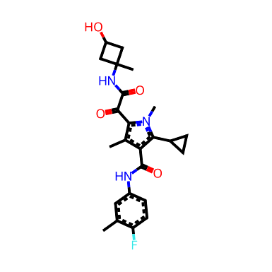 Cc1cc(NC(=O)c2c(C)c(C(=O)C(=O)NC3(C)CC(O)C3)n(C)c2C2CC2)ccc1F